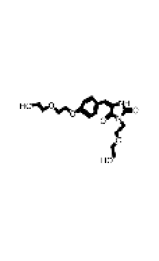 O=C1NC(=Cc2ccc(OCCOCCO)cc2)C(=O)N1CCOCCO